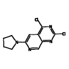 Clc1nc(Cl)c2cc(N3CCCC3)ncc2n1